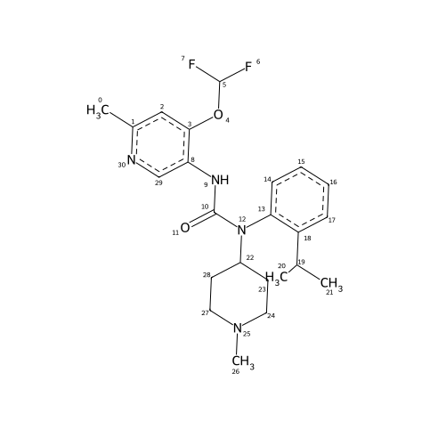 Cc1cc(OC(F)F)c(NC(=O)N(c2ccccc2C(C)C)C2CCN(C)CC2)cn1